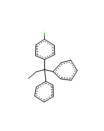 [CH2]CC(c1ccccc1)(c1ccccc1)c1ccc(Cl)cc1